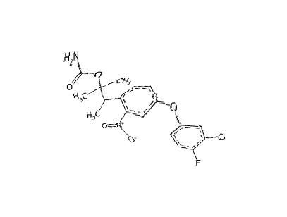 CC(c1ccc(Oc2ccc(F)c(Cl)c2)cc1[N+](=O)[O-])C(C)(C)OC(N)=O